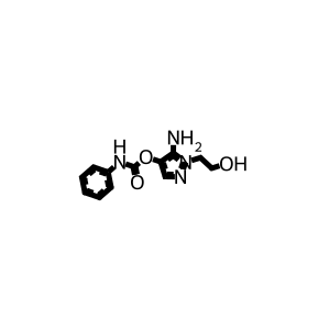 Nc1c(OC(=O)Nc2ccccc2)cnn1CCO